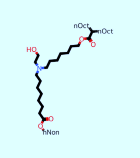 CCCCCCCCCOC(=O)CCCCCCCN(CCO)CCCCCCCOC(=O)C(CCCCCCCC)CCCCCCCC